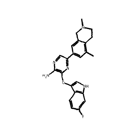 Cc1cc(-c2cnc(N)c(Oc3c[nH]c4cc(F)ccc34)n2)cc2c1CCN(C)C2